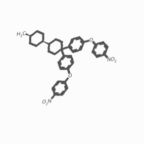 C[C@H]1CC[C@@H](C2CCC(c3ccc(Oc4ccc([N+](=O)[O-])cc4)cc3)(c3ccc(Oc4ccc([N+](=O)[O-])cc4)cc3)CC2)CC1